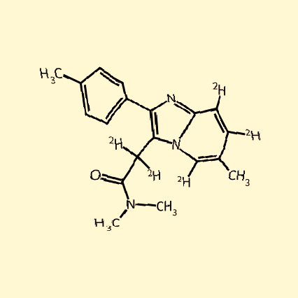 [2H]c1c(C)c([2H])n2c(C([2H])([2H])C(=O)N(C)C)c(-c3ccc(C)cc3)nc2c1[2H]